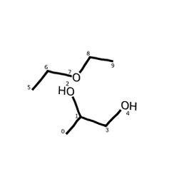 CC(O)CO.CCOCC